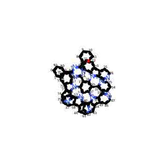 c1ccc(-c2nc(-c3ccccc3)nc(-c3c(-n4c5ccccc5c5ccncc54)c(-c4ccccn4)c(-n4c5ccccc5c5ccncc54)c(-n4c5ccccc5c5ccncc54)c3-n3c4ccccc4c4ccncc43)n2)cc1